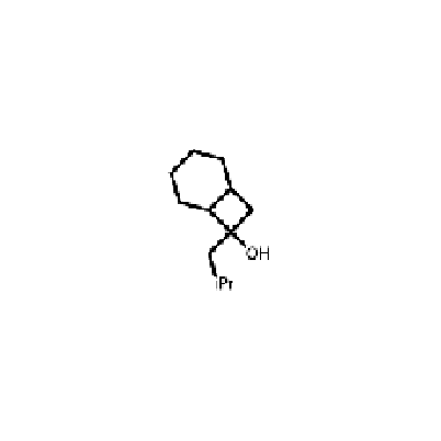 CC(C)CC1(O)CC2CCCCC21